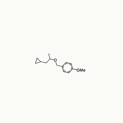 [CH2]C(CC1CC1)OCc1ccc(OC)cc1